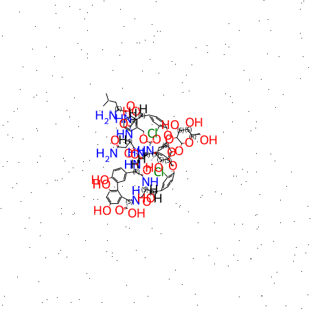 CC(C)C[C@H](N)C(=O)N[C@H]1C(=O)N[C@@H](CC(N)=O)C(=O)N[C@H]2C(=O)N[C@H]3C(=O)N[C@H](C(=O)N[C@H](C(=O)O)c4cc(O)cc(O)c4-c4cc3ccc4O)[C@H](O)c3ccc(c(Cl)c3)Oc3cc2cc(c3OC2O[C@H](CO)[C@@H](O)[C@H](O)C2O[C@H]2C[C@](C)(NC(=O)OCc3ccccc3)[C@H](O)[C@H](C)O2)Oc2ccc(cc2Cl)[C@H]1O